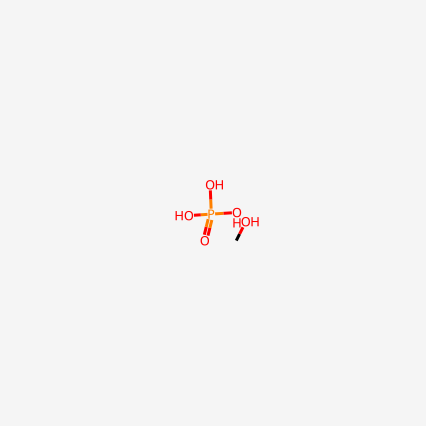 CO.O=P(O)(O)O